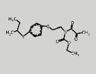 CCOC(=O)N(CCOc1ccc(SC(C)CC)cc1)C(=O)C(C)=O